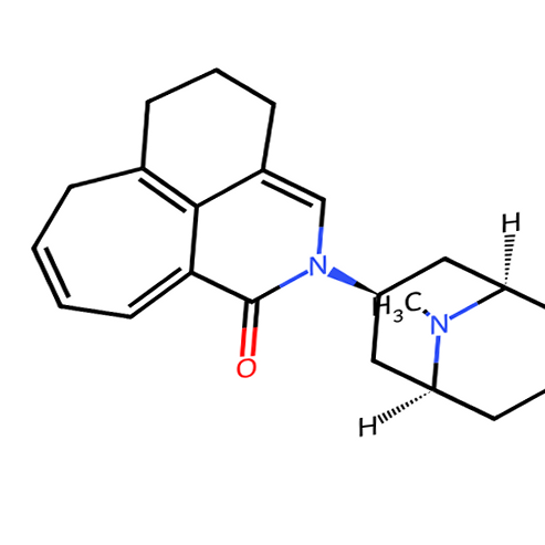 CN1[C@@H]2CCC[C@H]1C[C@@H](n1cc3c4c(c1=O)=CC=CCC=4CCC3)C2